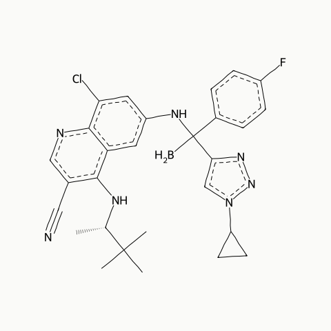 BC(Nc1cc(Cl)c2ncc(C#N)c(N[C@@H](C)C(C)(C)C)c2c1)(c1ccc(F)cc1)c1cn(C2CC2)nn1